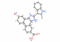 Cc1[nH]c2ccccc2c1-c1nc2c3cc(Br)ccc3c3ccc(C(=O)O)cc3c2[nH]1